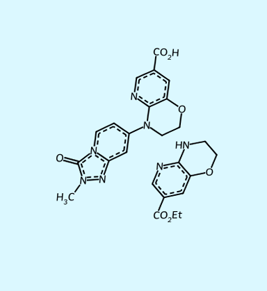 CCOC(=O)c1cnc2c(c1)OCCN2.Cn1nc2cc(N3CCOc4cc(C(=O)O)cnc43)ccn2c1=O